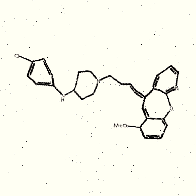 COC1C=CC=C2Oc3ncccc3C(=CCCN3CCC(Nc4ccc(Cl)cc4)CC3)C=C21